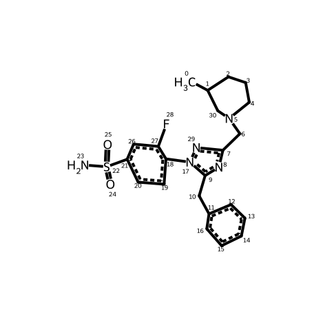 CC1CCCN(Cc2nc(Cc3ccccc3)n(-c3ccc(S(N)(=O)=O)cc3F)n2)C1